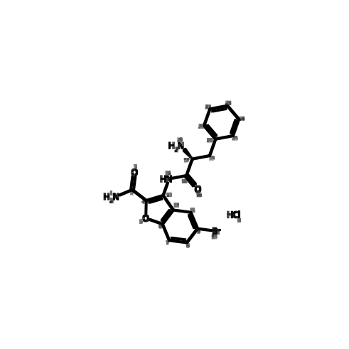 Cl.NC(=O)c1oc2ccc(Br)cc2c1NC(=O)[C@@H](N)Cc1ccccc1